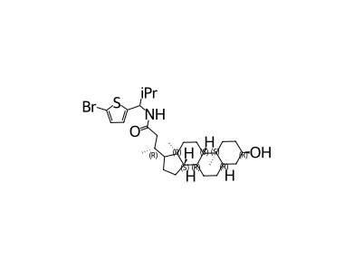 CC(C)C(NC(=O)C[C@@H](C)C1CC[C@H]2[C@@H]3CC[C@@H]4C[C@H](O)CC[C@]4(C)[C@H]3CC[C@]12C)c1ccc(Br)s1